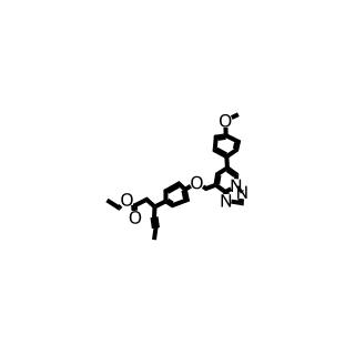 CC#CC(CC(=O)OCC)c1ccc(OCc2cc(-c3ccc(OC)cc3)cn3ncnc23)cc1